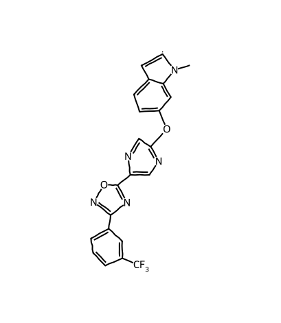 Cn1[c]cc2ccc(Oc3cnc(-c4nc(-c5cccc(C(F)(F)F)c5)no4)cn3)cc21